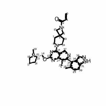 C=CC(=O)N1CC2(CCN(c3nc(OC[C@@H]4CCCN4C)nc4c(F)c(-c5c(C)ccc6[nH]ncc56)ncc34)CC2)C1